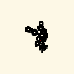 COCC(=O)[C@@]1(C#CC(F)(F)F)CC[C@H]2[C@@H]3CCC4=CC(=O)CCC4=C3[C@@H](c3ccc(N4CCCCC4)cc3)C[C@@]21C